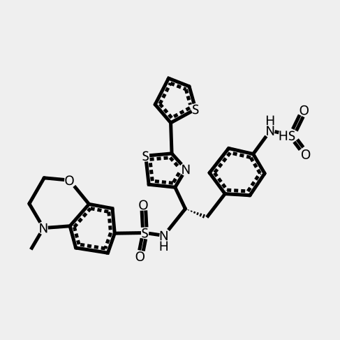 CN1CCOc2cc(S(=O)(=O)N[C@@H](Cc3ccc(N[SH](=O)=O)cc3)c3csc(-c4cccs4)n3)ccc21